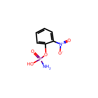 NP(=O)(O)Oc1ccccc1[N+](=O)[O-]